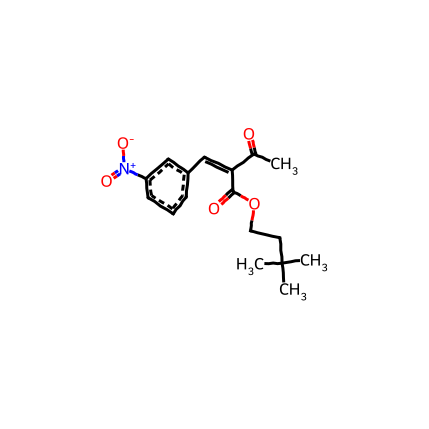 CC(=O)C(=Cc1cccc([N+](=O)[O-])c1)C(=O)OCCC(C)(C)C